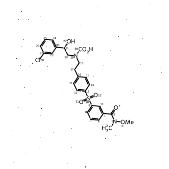 CON(C)C(=O)c1cccc(S(=O)(=O)c2ccc(CCN(C[C@H](O)c3cccc(Cl)c3)C(=O)O)cc2)c1